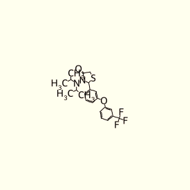 CC(C)N(C(C)C)N1C(=O)CSC1c1cccc(Oc2cccc(C(F)(F)F)c2)c1